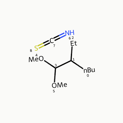 CCCCC(CC)C(OC)OC.N=C=S